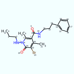 CCCNn1c(C)c(C(=O)NCCCc2ccccc2)c(C)c(Br)c1=O